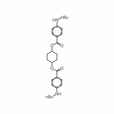 CCCCNc1ccc(C(=O)OC2CCC(OC(=O)c3ccc(NCCCC)cc3)CC2)cc1